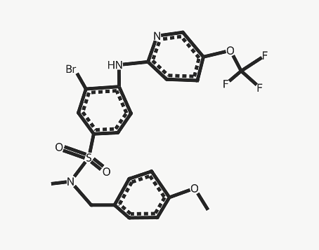 COc1ccc(CN(C)S(=O)(=O)c2ccc(Nc3ccc(OC(F)(F)F)cn3)c(Br)c2)cc1